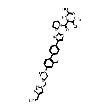 CC(C)[C@H](NC(=O)O)C(=O)N1CCC[C@H]1c1ncc(-c2ccc(-c3ccc(N4C[C@@H](Cn5cc(CO)nn5)OO4)cc3F)cc2)[nH]1